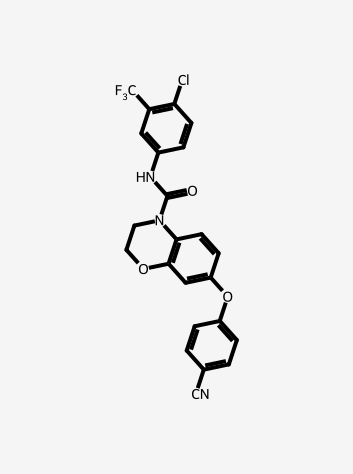 N#Cc1ccc(Oc2ccc3c(c2)OCCN3C(=O)Nc2ccc(Cl)c(C(F)(F)F)c2)cc1